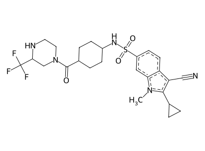 Cn1c(C2CC2)c(C#N)c2ccc(S(=O)(=O)NC3CCC(C(=O)N4CCNC(C(F)(F)F)C4)CC3)cc21